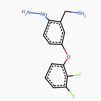 NCc1cc(Oc2cccc(F)c2F)ccc1NN